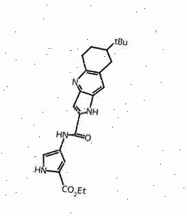 CCOC(=O)c1cc(NC(=O)c2cc3nc4c(cc3[nH]2)CC(C(C)(C)C)CC4)c[nH]1